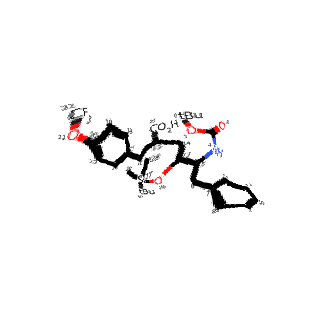 CC(C)(C)OC(=O)NC(Cc1ccccc1)C(CC(Cc1ccc(OC(F)(F)F)cc1)C(=O)O)O[Si](C)(C)C(C)(C)C